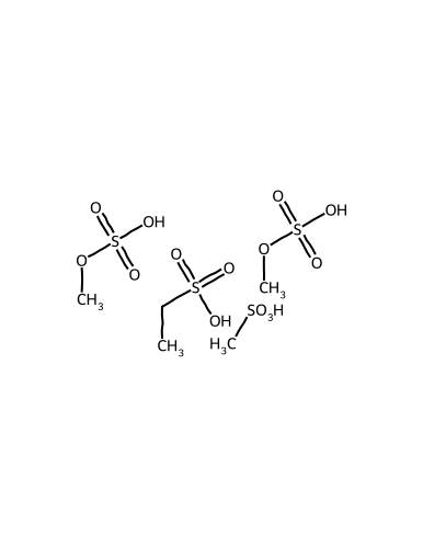 CCS(=O)(=O)O.COS(=O)(=O)O.COS(=O)(=O)O.CS(=O)(=O)O